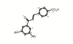 CC(C)c1cc(C(=O)C=Cc2ccc(C(=O)O)cc2)cc(C(C)C)c1